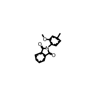 COc1cc(C)ccc1N1C(=O)c2ccccc2C1=O